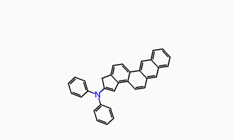 C1=C(N(c2ccccc2)c2ccccc2)Cc2ccc3c(ccc4cc5ccccc5cc43)c21